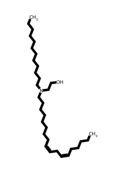 CCCCC/C=C\C/C=C\CCCCCCCCN(CCO)CCCCCCCCCCCC